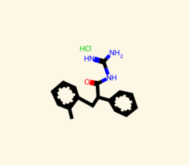 Cc1ccccc1CC(C(=O)NC(=N)N)c1ccccc1.Cl